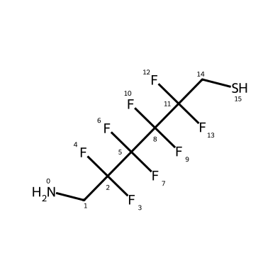 NCC(F)(F)C(F)(F)C(F)(F)C(F)(F)CS